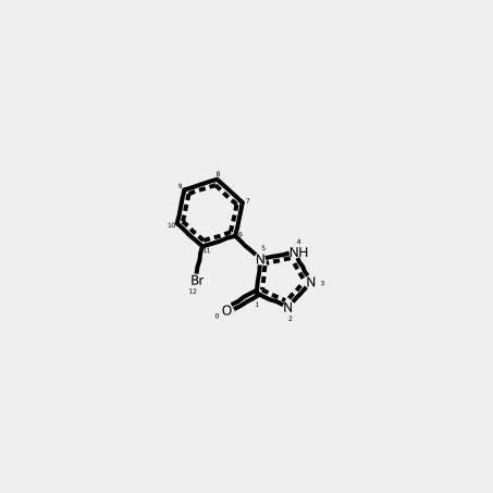 O=c1nn[nH]n1-c1ccccc1Br